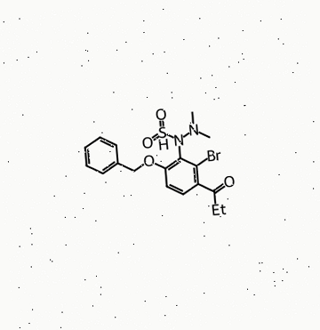 CCC(=O)c1ccc(OCc2ccccc2)c(N(N(C)C)[SH](=O)=O)c1Br